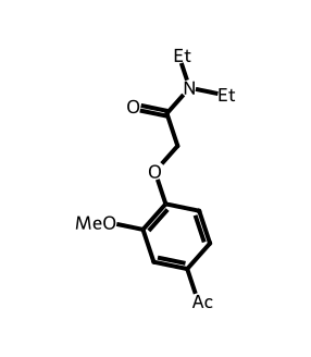 CCN(CC)C(=O)COc1ccc(C(C)=O)cc1OC